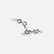 COc1cc(OCC2CCCN(c3ccc(N)nc3)C2)c2cc(-c3cn4nc(OC)sc4n3)oc2c1